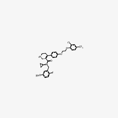 COc1ccc(F)c(CN(C(=O)C2=C(c3ccc(OCCOc4ccc(C(F)(F)F)cc4Cl)cc3)CCNC2)C2CC2)c1